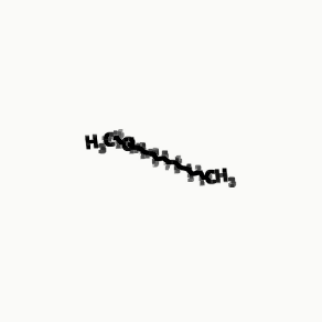 CCCCCCCCCCCCCCOCCC